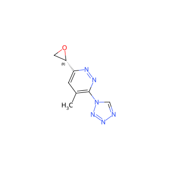 Cc1cc([C@@H]2CO2)nnc1-n1cnnn1